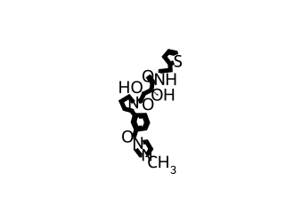 CN1CCN(C(=O)c2cccc(C3CCCN3C(=O)[C@H](O)[C@@H](O)C(=O)NCCC3CC=CS3)c2)CC1